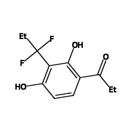 CCC(=O)c1ccc(O)c(C(F)(F)CC)c1O